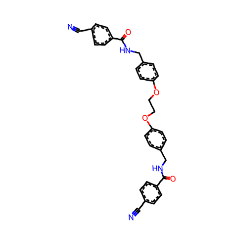 N#Cc1ccc(C(=O)NCc2ccc(OCCOc3ccc(CNC(=O)c4ccc(C#N)cc4)cc3)cc2)cc1